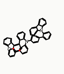 c1ccc(-c2cccc(N(c3ccc(-c4ccccc4-n4c5ccccc5c5ccccc54)cc3)c3ccccc3-c3cccc4oc5ccccc5c34)c2)cc1